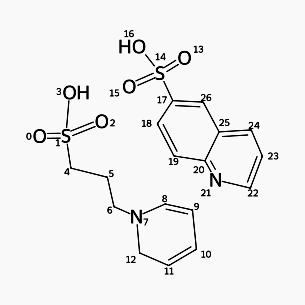 O=S(=O)(O)CCCN1C=CC=CC1.O=S(=O)(O)c1ccc2ncccc2c1